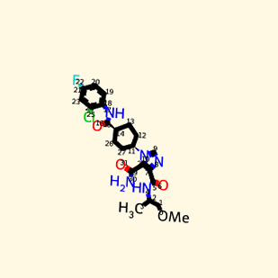 COCC(C)NC(=O)c1ncn([C@H]2CC[C@H](C(=O)Nc3ccc(F)cc3Cl)CC2)c1C(N)=O